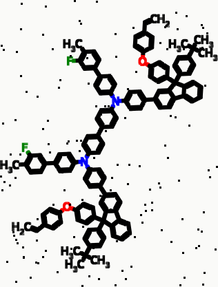 C=Cc1ccc(Oc2ccc(C3(c4ccc(C(C)(C)C)cc4)c4ccccc4-c4ccc(-c5ccc(N(c6ccc(-c7ccc(N(c8ccc(-c9ccc(C)c(F)c9)cc8)c8ccc(-c9ccc%10c(c9)C(c9ccc(Oc%11ccc(C=C)cc%11)cc9)(c9ccc(C(C)(C)C)cc9)c9ccccc9-%10)cc8)cc7)cc6)c6ccc(-c7ccc(C)c(F)c7)cc6)cc5)cc43)cc2)cc1